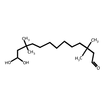 CC(C)(CC=O)CCCCCCCC(C)(C)CC(O)O